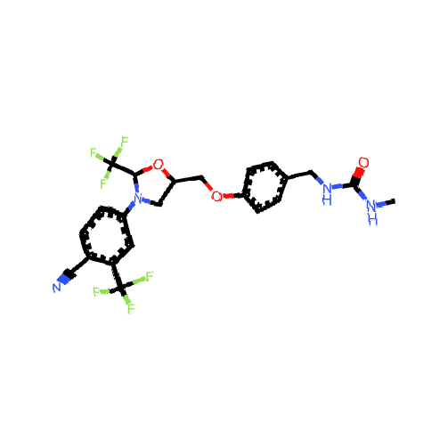 CNC(=O)NCc1ccc(OCC2CN(c3ccc(C#N)c(C(F)(F)F)c3)C(C(F)(F)F)O2)cc1